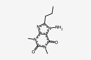 CCCc1nc2c(c(=O)n(C)c(=O)n2C)n1N